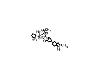 Cc1cc2cc(-c3ccn(C(O)CC(C)(CNC(=O)c4ccccc4O)S(C)(=O)=O)c(=O)c3)ccc2[nH]1